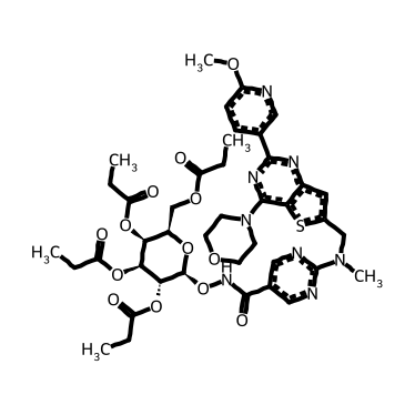 CCC(=O)OC[C@H]1O[C@@H](ONC(=O)c2cnc(N(C)Cc3cc4nc(-c5ccc(OC)nc5)nc(N5CCOCC5)c4s3)nc2)[C@H](OC(=O)CC)[C@@H](OC(=O)CC)[C@H]1OC(=O)CC